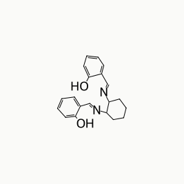 Oc1ccccc1C=NC1CCCCC1N=Cc1ccccc1O